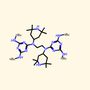 CCCCNc1nc(NCCCC)nc(N(CCN(c2nc(NCCCC)nc(NCCCC)n2)C2CC(C)(C)NC(C)(C)C2)C2CC(C)(C)NC(C)(C)C2)n1